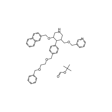 CC(C)(C)OC=O.c1ccc(COCCOCc2ccc(C3C(COCc4cccnc4)CNCC3OCc3ccc4ccccc4c3)cc2)cc1